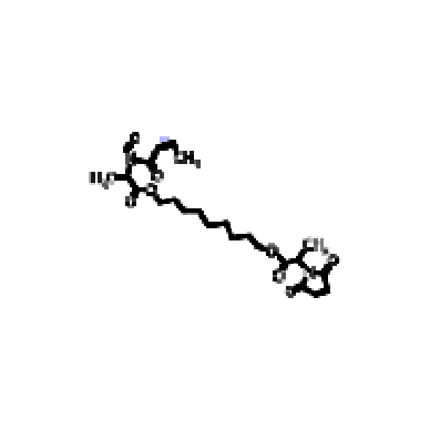 C/C=C\C(=O)N(C=O)C(C)C(=O)OCCCCCCCCCOC(=O)C(C)N1C(=O)C=CC1=O